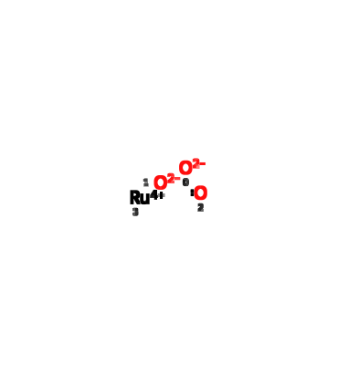 [O-2].[O-2].[O].[Ru+4]